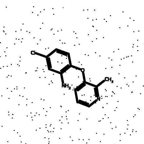 Cc1ncccc1Oc1ccc(Cl)cc1N